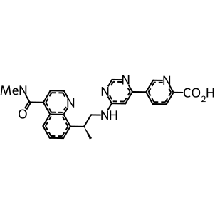 CNC(=O)c1ccnc2c([C@H](C)CNc3cc(-c4ccc(C(=O)O)nc4)ncn3)cccc12